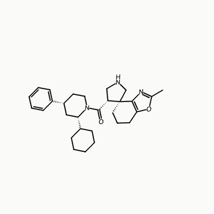 Cc1nc2c(o1)CCC[C@]21CNC[C@H]1C(=O)N1CC[C@@H](c2ccccc2)C[C@H]1C1CCCCC1